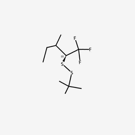 CCC(C)[C@H](SSC(C)(C)C)C(F)(F)F